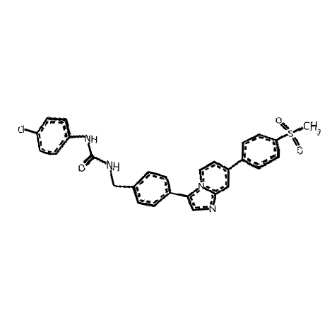 CS(=O)(=O)c1ccc(-c2ccn3c(-c4ccc(CNC(=O)Nc5ccc(Cl)cc5)cc4)cnc3c2)cc1